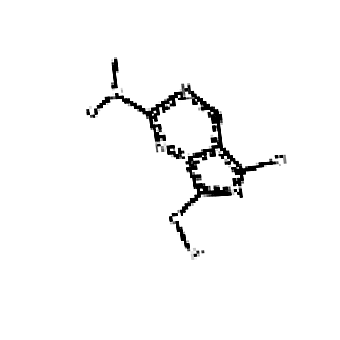 CC(C)Oc1nc(Cl)c2cnc([S+](C)[O-])nn12